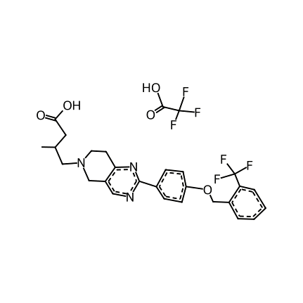 CC(CC(=O)O)CN1CCc2nc(-c3ccc(OCc4ccccc4C(F)(F)F)cc3)ncc2C1.O=C(O)C(F)(F)F